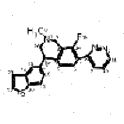 CN1Cc2c(ccc(-c3cccnn3)c2F)C(c2ccc3sccc3c2)C1